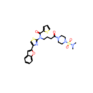 CN(C)S(=O)(=O)N1CCN(C(=O)CCCN(C(=O)c2cccs2)c2nc(-c3cc4ccccc4o3)cs2)CC1